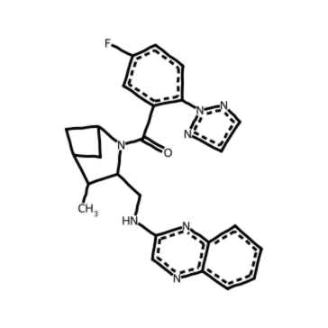 CC1C2CC(C2)N(C(=O)c2cc(F)ccc2-n2nccn2)C1CNc1cnc2ccccc2n1